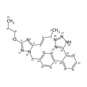 CCC=Cc1nc(OCCC)nn1Cc1ccc(-c2ccccc2-c2nnn[nH]2)cc1